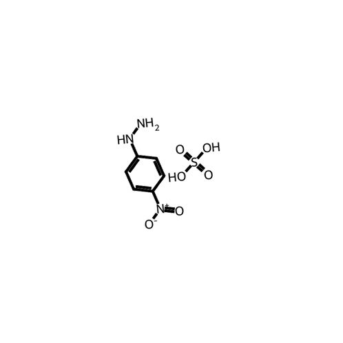 NNc1ccc([N+](=O)[O-])cc1.O=S(=O)(O)O